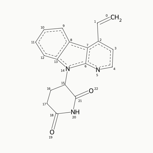 C=Cc1ccnc2c1c1ccccc1n2C1CCC(=O)NC1=O